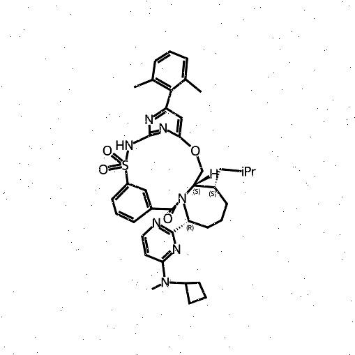 Cc1cccc(C)c1-c1cc2nc(n1)NS(=O)(=O)c1cccc(c1)C(=O)N1[C@@H](c3nccc(N(C)C4CCC4)n3)CCC[C@@H](CC(C)C)[C@H]1CO2